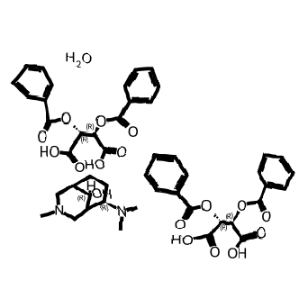 CN1CC2CC[C@@H](N(C)C)C(C1)[C@@H]2O.O.O=C(O[C@@H](C(=O)O)[C@@H](OC(=O)c1ccccc1)C(=O)O)c1ccccc1.O=C(O[C@@H](C(=O)O)[C@@H](OC(=O)c1ccccc1)C(=O)O)c1ccccc1